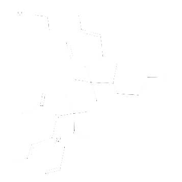 COCOc1cc2c(cc1F)CC(C[C@@H](C)CO)C21CCC(C(=O)OC)(N(C(=O)C(F)(F)F)c2cccc(Cl)c2)CC1